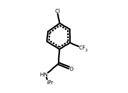 CC(C)NC(=O)c1ccc(Cl)cc1C(F)(F)F